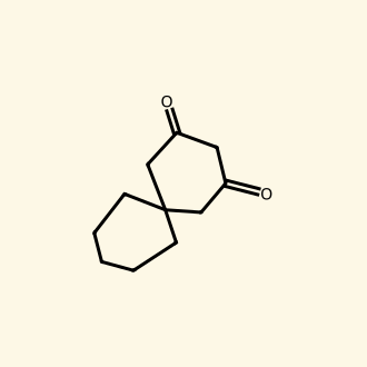 O=C1CC(=O)CC2(CCCCC2)C1